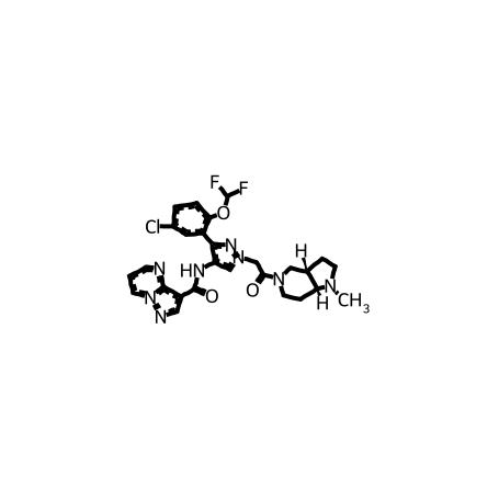 CN1CC[C@H]2CN(C(=O)Cn3cc(NC(=O)c4cnn5cccnc45)c(-c4cc(Cl)ccc4OC(F)F)n3)CC[C@H]21